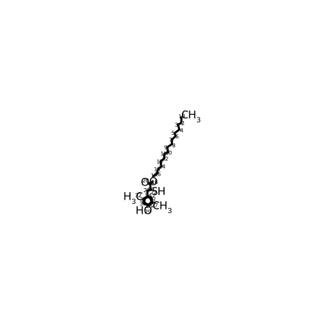 CCCCCCCCCCCCCCCCCCOC(=O)C(S)Cc1cc(C)c(O)cc1C